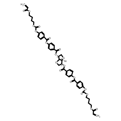 C=CC(=O)OCCCCOC(=O)Oc1ccc(C(=O)Oc2ccc(C(=O)O[C@H]3COC4[C@H]3OC[C@H]4OC(=O)c3ccc(OC(=O)c4ccc(OC(=O)OCCCCOC(=O)C=C)cc4)cc3)cc2)cc1